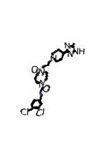 Cc1nc(C2CCN(CCCN3CCN(C(=O)/C=C/c4ccc(Cl)c(Cl)c4)CCC3=O)CC2)n[nH]1